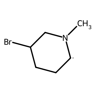 CN1[CH]CCC(Br)C1